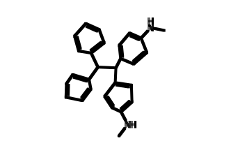 CNc1ccc(C(c2ccc(NC)cc2)C(c2ccccc2)c2ccccc2)cc1